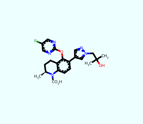 C[C@H]1CCc2c(ccc(-c3cnn(CC(C)(C)O)c3)c2Oc2ncc(F)cn2)N1C(=O)O